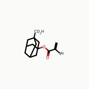 C=C(C(=O)OC12CC3CC(C1)CC(C(=O)O)(C3)C2)C(C)C